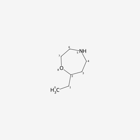 CCC1CCNCCO1